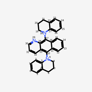 c1ccc2c(c1)CCCN2c1c2ccccc2c(N2CCCc3ccccc32)c2ncccc12